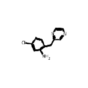 Nc1cc(Cl)ccc1Cc1cnccn1